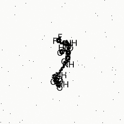 O=C(CN1CCN(c2ccc(C(=O)Nc3n[nH]c4ccc(Cc5cc(F)cc(F)c5)cc34)c(NC3CCOCC3)c2)CC1)NCCCCCCCNc1cccc2c1C(=O)N(C1CCC(=O)NC1=O)C2=O